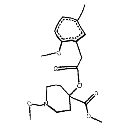 COC(=O)C1(OC(=O)Cc2cc(C)ccc2OC)CCN(OC)CC1